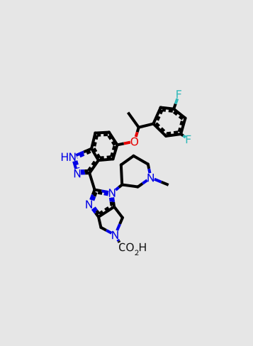 CC(Oc1ccc2[nH]nc(-c3nc4c(n3C3CCCN(C)C3)CN(C(=O)O)C4)c2c1)c1cc(F)cc(F)c1